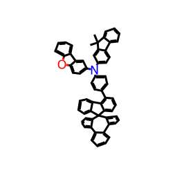 CC1(C)c2ccccc2-c2ccc(N(c3ccc(-c4cccc5c4-c4ccccc4C54c5ccccc5-c5ccccc5-c5ccccc54)cc3)c3ccc4oc5ccccc5c4c3)cc21